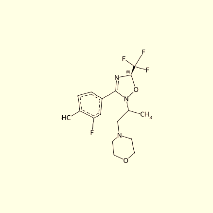 [CH]c1ccc(C2=N[C@@H](C(F)(F)F)ON2C(C)CN2CCOCC2)cc1F